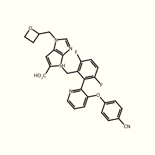 N#Cc1ccc(Oc2cccnc2-c2c(F)ccc(F)c2C[SH]2C(C(=O)O)=Cc3c2ncn3CC2CCO2)cc1